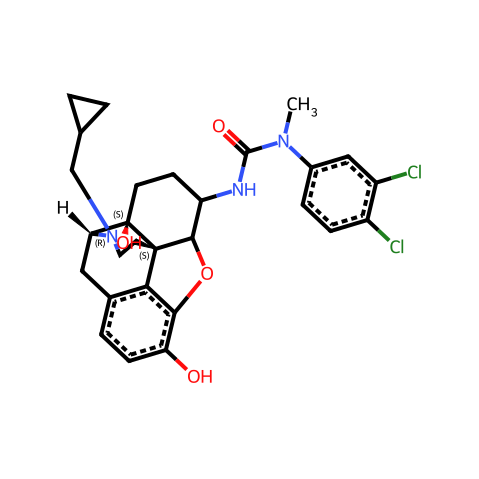 CN(C(=O)NC1CC[C@@]2(O)[C@H]3Cc4ccc(O)c5c4[C@@]2(CCN3CC2CC2)C1O5)c1ccc(Cl)c(Cl)c1